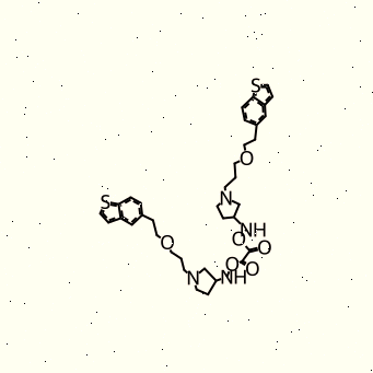 O=C(ONC1CCN(CCCOCCc2ccc3sccc3c2)C1)C(=O)ONC1CCN(CCCOCCc2ccc3sccc3c2)C1